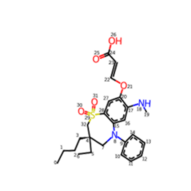 CCCC[C@]1(CC)CN(c2ccccc2)c2cc(NC)c(O/C=C/C(=O)O)cc2S(=O)(=O)C1